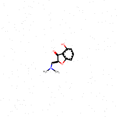 CN(C)/C=C1\Oc2cccc(O)c2C1=O